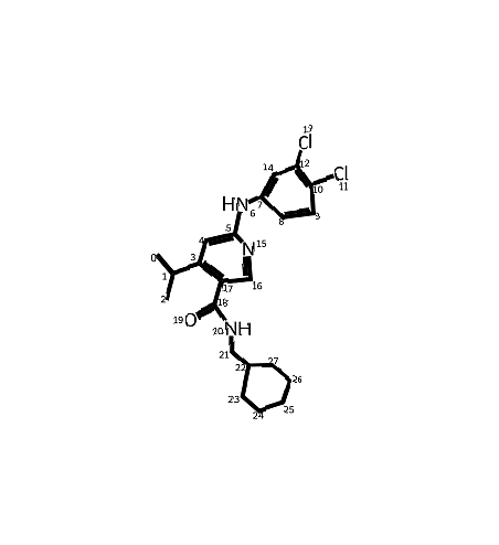 CC(C)c1cc(Nc2ccc(Cl)c(Cl)c2)ncc1C(=O)NCC1CCCCC1